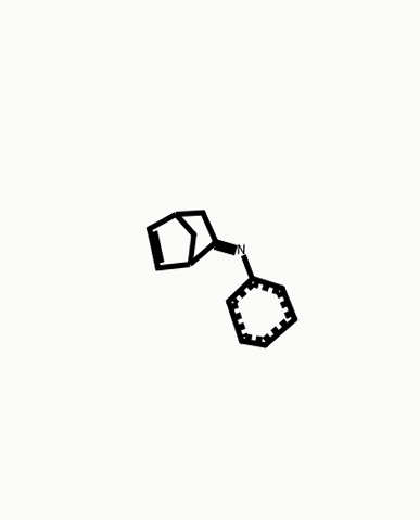 C1=CC2CC1CC2=Nc1ccccc1